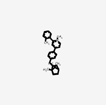 Cc1ccccc1-c1cc(-c2ccc(CC3CC4CCC3(C)C4(C)C)cc2)cc[n+]1C